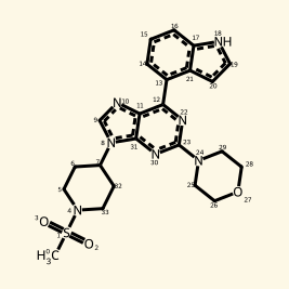 CS(=O)(=O)N1CCC(n2cnc3c(-c4cccc5[nH]ccc45)nc(N4CCOCC4)nc32)CC1